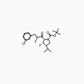 CN(C)[C@@H]1CN(C(=O)OC(C)(C)C)[C@H](C(=O)N(F)Cc2cccc(Cl)c2)[C@H]1F